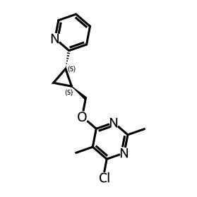 Cc1nc(Cl)c(C)c(OC[C@H]2C[C@@H]2c2ccccn2)n1